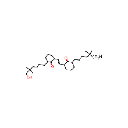 CC(C)(CO)CCCCC1CCCC(C=CC2CCCC(CCCCC(C)(C)C(=O)O)C2=O)C1=O